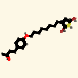 CC(=O)C=Cc1ccc(OCCCCCCCCc2cc(Br)sc2Br)cc1